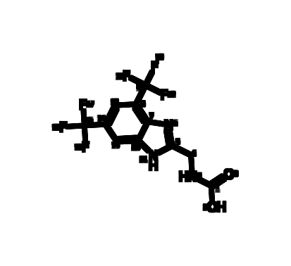 O=C(O)NCc1nc2c(C(F)(F)F)cc(C(F)(F)F)cc2[nH]1